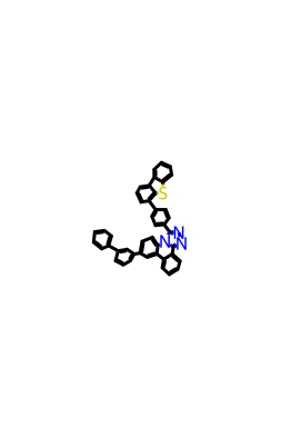 c1ccc(-c2cccc(-c3ccc4c(c3)c3ccccc3c3nnc(-c5ccc(-c6cccc7c6sc6ccccc67)cc5)n43)c2)cc1